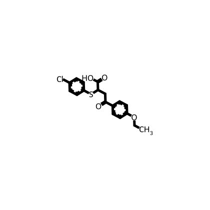 CCOc1ccc(C(=O)CC(Sc2ccc(Cl)cc2)C(=O)O)cc1